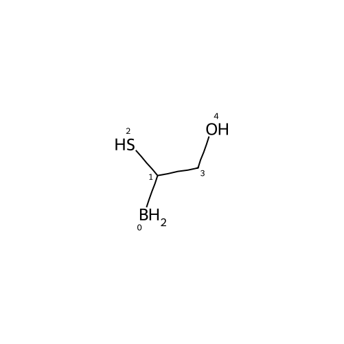 BC(S)CO